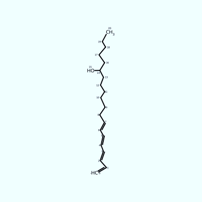 [CH]=C/C=C/C=C/C=C/CCCCCCC(O)CCCCC